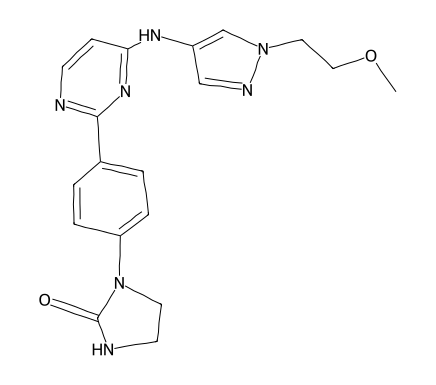 COCCn1cc(Nc2ccnc(-c3ccc(N4CCNC4=O)cc3)n2)cn1